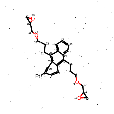 CCc1ccc2c(CCCOCC3CO3)c3ccccc3c(CCCOCC3CO3)c2c1